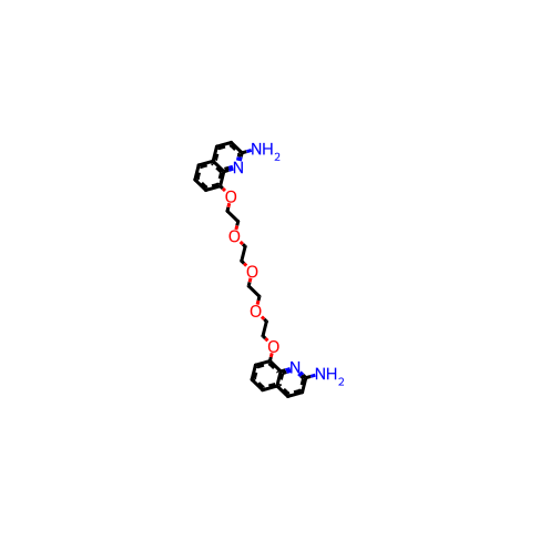 Nc1ccc2cccc(OCCOCCOCCOCCOc3cccc4ccc(N)nc34)c2n1